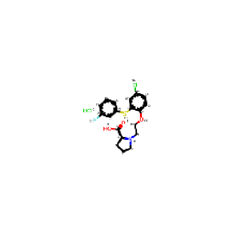 Cl.O=C(O)C1CCCN1CCOc1ccc(Cl)cc1Sc1cccc(F)c1